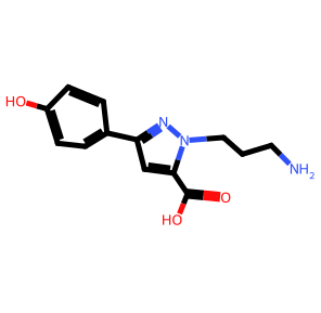 NCCCn1nc(-c2ccc(O)cc2)cc1C(=O)O